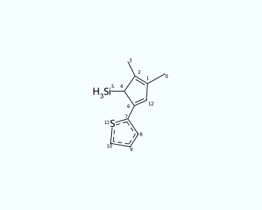 CC1=C(C)C([SiH3])C(c2cccs2)=C1